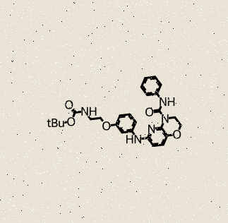 CC(C)(C)OC(=O)NCCOc1cccc(Nc2ccc3c(n2)N(C(=O)Nc2ccccc2)CCO3)c1